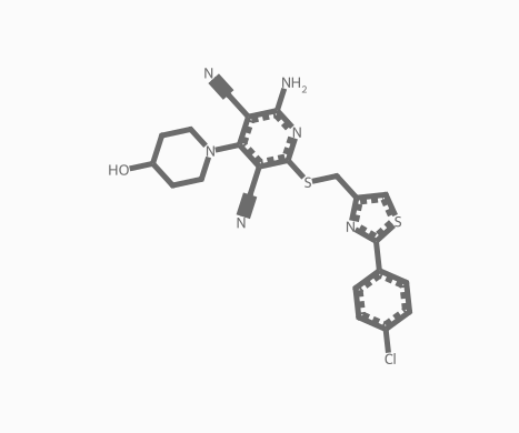 N#Cc1c(N)nc(SCc2csc(-c3ccc(Cl)cc3)n2)c(C#N)c1N1CCC(O)CC1